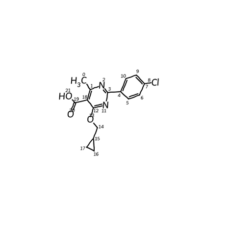 Cc1nc(-c2ccc(Cl)cc2)nc(OCC2CC2)c1C(=O)O